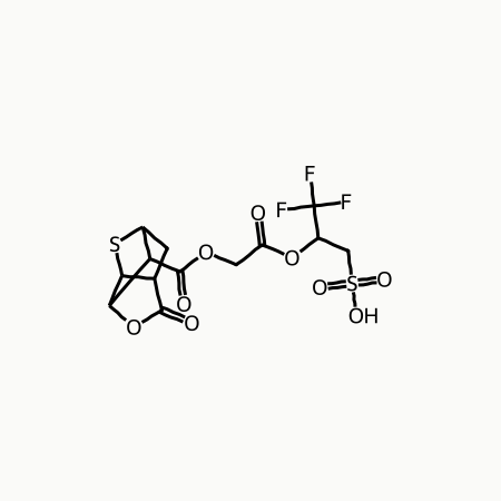 O=C(COC(=O)C1C2CC3C(=O)OC1C3S2)OC(CS(=O)(=O)O)C(F)(F)F